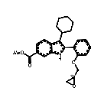 COC(=O)c1ccc2c(C3CCCCC3)c(-c3ccccc3OC[C@@H]3CO3)[nH]c2c1